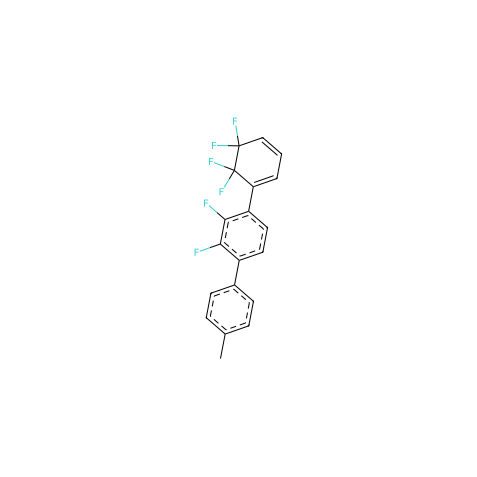 Cc1ccc(-c2ccc(C3=CC=CC(F)(F)C3(F)F)c(F)c2F)cc1